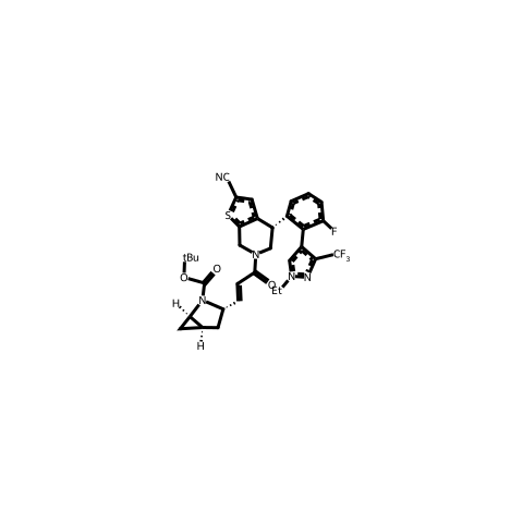 CCn1cc(-c2c(F)cccc2[C@@H]2CN(C(=O)/C=C/[C@@H]3C[C@H]4C[C@H]4N3C(=O)OC(C)(C)C)Cc3sc(C#N)cc32)c(C(F)(F)F)n1